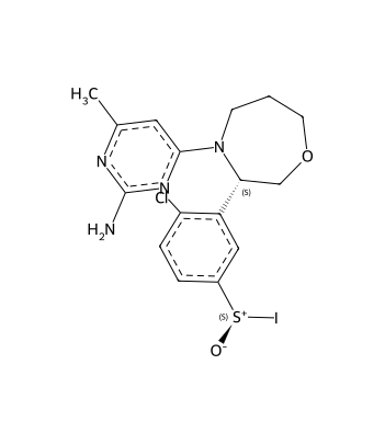 Cc1cc(N2CCCOC[C@@H]2c2cc([S@+]([O-])I)ccc2Cl)nc(N)n1